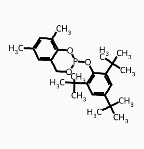 Cc1cc(C)c2c(c1)COP(Oc1c(C(C)(C)C)cc(C(C)(C)C)cc1C(C)(C)C)O2